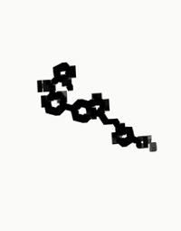 Cn1nccc1Nc1nccc(-c2ccn3c(CCn4cc(C(F)(F)F)cn4)nnc3c2)n1